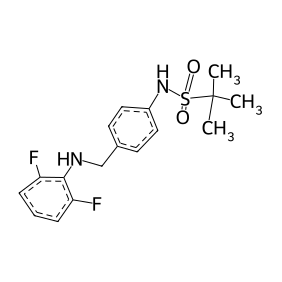 CC(C)(C)S(=O)(=O)Nc1ccc(CNc2c(F)cccc2F)cc1